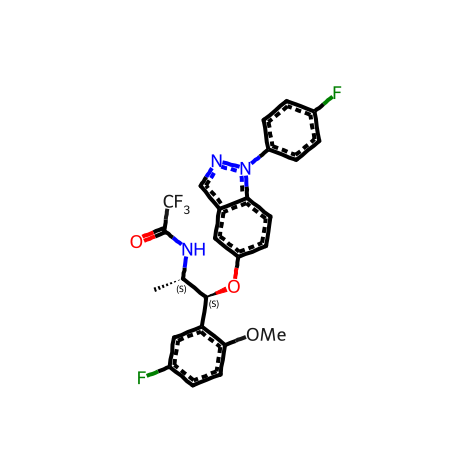 COc1ccc(F)cc1[C@H](Oc1ccc2c(cnn2-c2ccc(F)cc2)c1)[C@H](C)NC(=O)C(F)(F)F